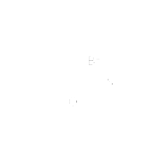 Brc1cccs1.C1CCOC1